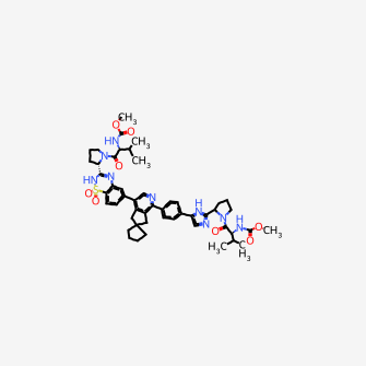 COC(=O)N[C@H](C(=O)N1CCCC1c1ncc(-c2ccc(-c3ncc(-c4ccc5c(c4)N=C([C@@H]4CCCN4C(=O)[C@@H](NC(=O)OC)C(C)C)NS5(=O)=O)c4c3CC3(CCCC3)C4)cc2)[nH]1)C(C)C